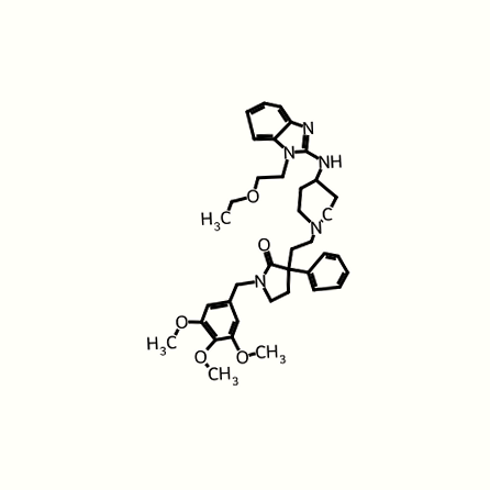 CCOCCn1c(NC2CCN(CCC3(c4ccccc4)CCN(Cc4cc(OC)c(OC)c(OC)c4)C3=O)CC2)nc2ccccc21